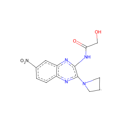 O=C(CO)Nc1nc2cc([N+](=O)[O-])ccc2nc1N1C[CH]C1